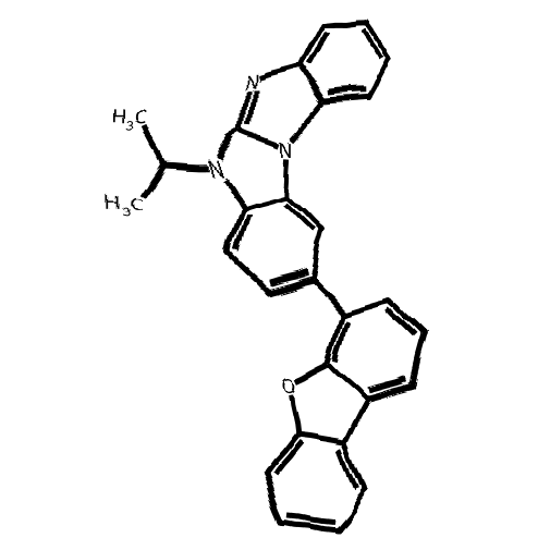 CC(C)n1c2ccc(-c3cccc4c3oc3ccccc34)cc2n2c3ccccc3nc12